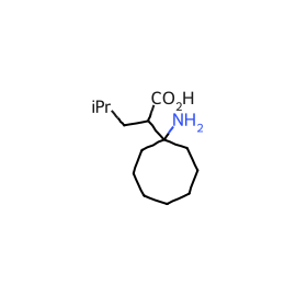 CC(C)CC(C(=O)O)C1(N)CCCCCCC1